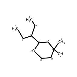 CCC(CC)C1CC(C)(O)CCO1